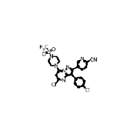 N#Cc1ccc(-c2nn3c(N4CCN(S(=O)(=O)C(F)(F)F)CC4)cc(Cl)nc3c2-c2ccc(Cl)cc2)cn1